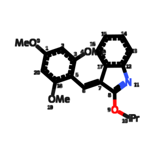 COc1cc(OC)c(C=C2C(OC(C)C)=Nc3ccccc32)c(OC)c1